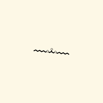 CCCCCCCOCC([O])COCCCCCCC